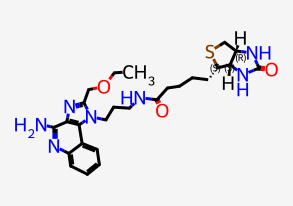 CCOCc1nc2c(N)nc3ccccc3c2n1CCCNC(=O)CCCC[C@@H]1SC[C@@H]2NC(=O)N[C@@H]21